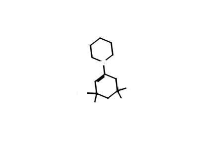 CC1(C)C=C(N2CCCCC2)CC(C)(C)C1